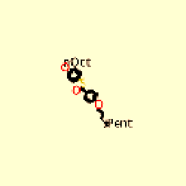 CCCCCCCCOc1ccc(SC(=O)c2ccc(OCCC[C@H](C)CCC)cc2)cc1